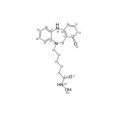 O=C(CCCCCN1CC2=C(C=CCC2=O)Nc2ccccc21)NO